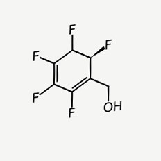 OCC1=C(F)C(F)=C(F)C(F)[C@H]1F